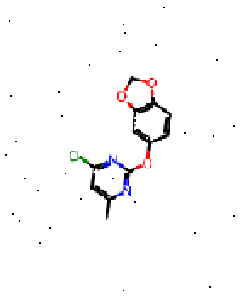 Cc1cc(Cl)nc(Oc2ccc3c(c2)OCO3)n1